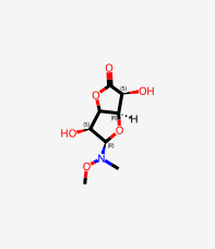 CON(C)[C@@H]1O[C@H]2C(OC(=O)[C@H]2O)[C@@H]1O